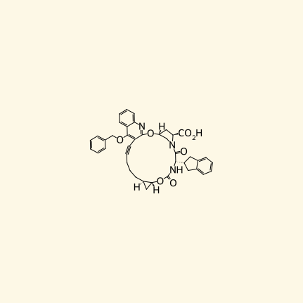 O=C1N[C@@H](C2Cc3ccccc3C2)C(=O)N2C[C@@H](C[C@H]2C(=O)O)Oc2nc3ccccc3c(OCc3ccccc3)c2C#CCCC[C@@H]2C[C@H]2O1